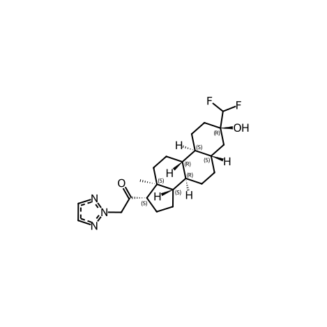 C[C@]12CC[C@H]3[C@@H](CC[C@H]4C[C@@](O)(C(F)F)CC[C@@H]43)[C@@H]1CC[C@@H]2C(=O)Cn1nccn1